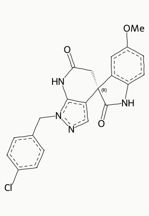 COc1ccc2c(c1)[C@@]1(CC(=O)Nc3c1cnn3Cc1ccc(Cl)cc1)C(=O)N2